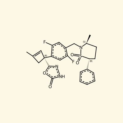 CC1=C[C@@](c2n[nH]c(=O)o2)(c2cc(F)c(CN3[C@@H](C)CC[C@H](c4ccccc4)S3(=O)=O)cc2F)C1